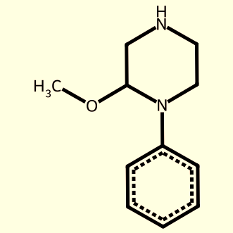 COC1CNCCN1c1ccccc1